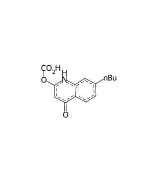 CCCCc1ccc2c(=O)cc(OC(=O)O)[nH]c2c1